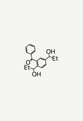 CCC(O)c1ccc(C(O)CC)c(C(=O)c2ccccc2)c1